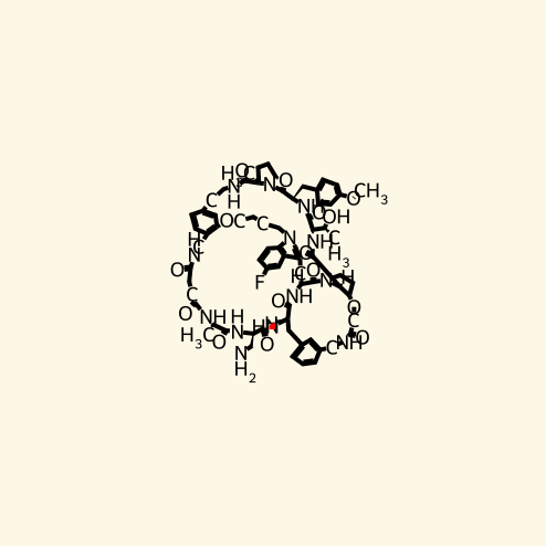 COc1ccc(C[C@H]2NC(=O)[C@H]([C@H](C)O)NC(=O)[C@H]3C4CCN3C(=O)[C@@H]3Cc5cn(c6ccc(F)cc56)CCCCOc5cc(ccc5CNC(=O)CCC(=O)N[C@@H](C)C(=O)N[C@H](CN)C(=O)N[C@@H](Cc5cccc(c5)CNC(=O)CO4)C(=O)N3)CCNC(=O)[C@@]3(C)CCCN3C2=O)cc1